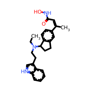 CCN(CCc1c[nH]c2ccccc12)C1CCc2cc(/C(C)=C\C(=O)NO)ccc21